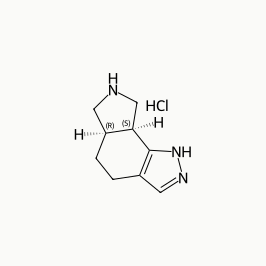 Cl.c1n[nH]c2c1CC[C@H]1CNC[C@@H]21